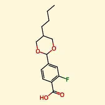 CCCCC1COC(c2ccc(C(=O)O)c(F)c2)OC1